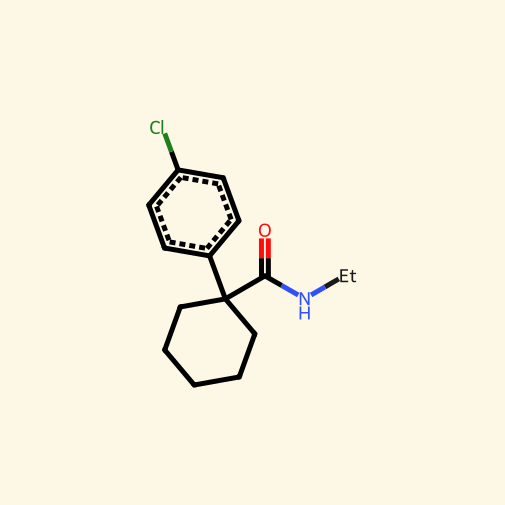 CCNC(=O)C1(c2ccc(Cl)cc2)CCCCC1